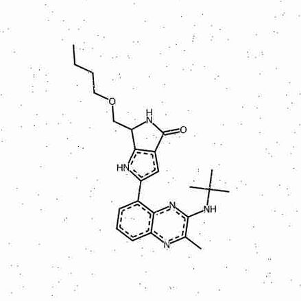 CCCCOCC1NC(=O)c2cc(-c3cccc4nc(C)c(NC(C)(C)C)nc34)[nH]c21